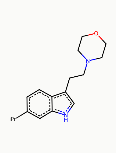 CC(C)c1ccc2c(CCN3CCOCC3)c[nH]c2c1